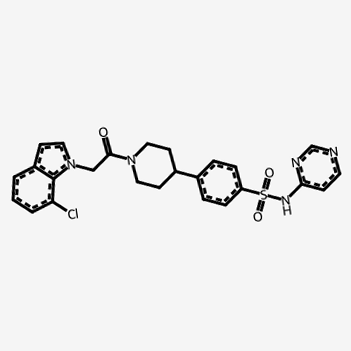 O=C(Cn1ccc2cccc(Cl)c21)N1CCC(c2ccc(S(=O)(=O)Nc3ccncn3)cc2)CC1